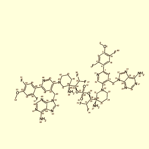 COc1cc(F)c(-c2cc(Cn3cnc4c(N)ncnc43)c(N3CCC[C@](N)([C@H](OS(=O)(=O)O[C@H](C(F)F)[C@@]4(N)CCCN(c5cnc(-c6cc(F)c(OC)cc6F)cc5Cn5cnc6c(N)ncnc65)C4)C(F)F)C3)cn2)cc1F